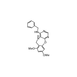 COc1cc(OC)c2c(c1)Oc1ncnc(NCc3ccccc3)c1NC2